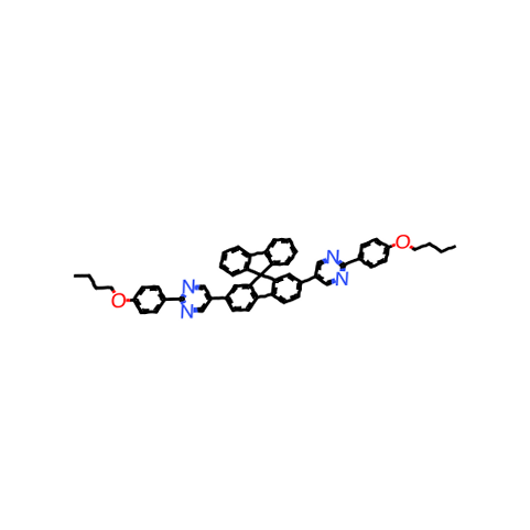 CCCCOc1ccc(-c2ncc(-c3ccc4c(c3)C3(c5ccccc5-c5ccccc53)c3cc(-c5cnc(-c6ccc(OCCCC)cc6)nc5)ccc3-4)cn2)cc1